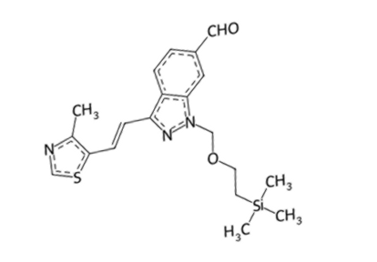 Cc1ncsc1C=Cc1nn(COCC[Si](C)(C)C)c2cc(C=O)ccc12